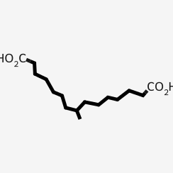 CC(CCCCCCC(=O)O)CCCCCCC(=O)O